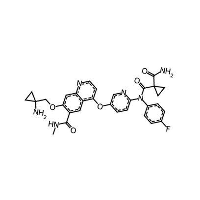 CNC(=O)c1cc2c(Oc3ccc(N(C(=O)C4(C(N)=O)CC4)c4ccc(F)cc4)nc3)ccnc2cc1OCC1(N)CC1